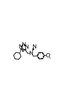 COc1ccc(CN(C#N)Cc2nnnn2C2CCCCC2)cc1